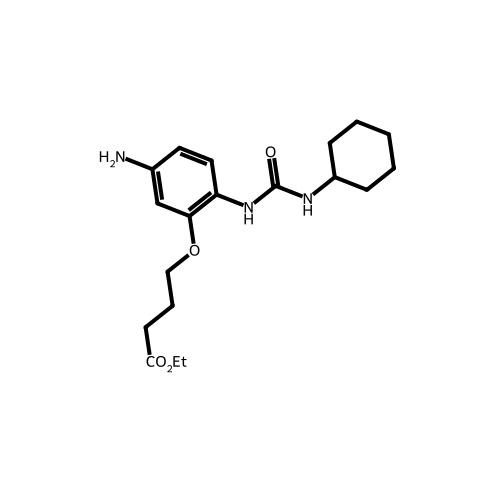 CCOC(=O)CCCOc1cc(N)ccc1NC(=O)NC1CCCCC1